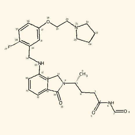 C[C@H](CCC(=O)NC=O)N1Cc2c(NCc3cc(OCCN4CCCC4)ccc3F)cccc2C1=O